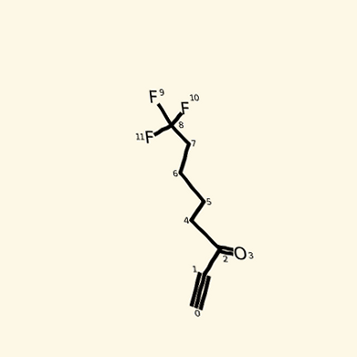 C#CC(=O)CCCCC(F)(F)F